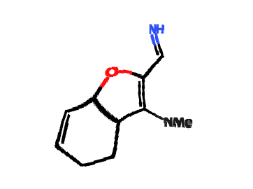 CNC1=C(C=N)OC2C=CCCC12